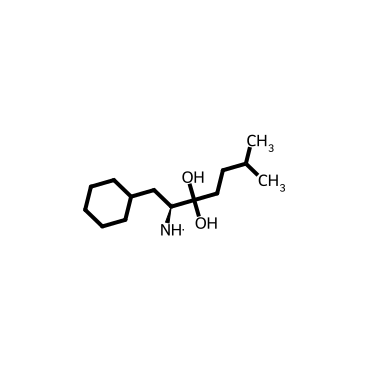 CC(C)CCC(O)(O)[C@@H]([NH])CC1CCCCC1